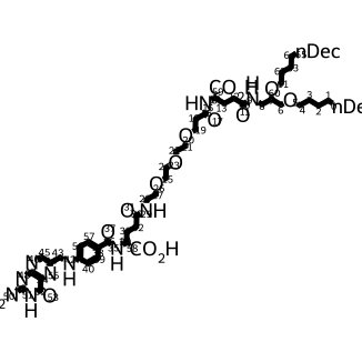 CCCCCCCCCCCCCCOCC(CNC(=O)CC[C@H](NC(=O)CCOCCOCCOCCNC(=O)CC[C@H](NC(=O)c1ccc(NCc2cnc3nc(N)[nH]c(=O)c3n2)cc1)C(=O)O)C(=O)O)OCCCCCCCCCCCCCC